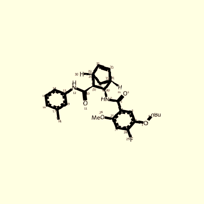 CCCCOc1cc(C(=O)N[C@H]2[C@@H](C(=O)Nc3cccc(C)c3)[C@@H]3C=C[C@H]2C3)c(OC)cc1F